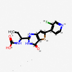 CCC(NC(=O)O)c1nc2cc(-c3ccncc3F)sc2c(=O)[nH]1